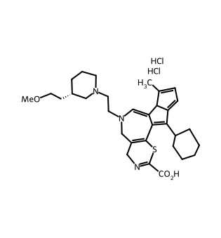 COCC[C@@H]1CCCN(CCN2C=C3C(=C(C4CCCCC4)C4=CC=C(C)C34)C3=C(CN=C(C(=O)O)S3)C2)C1.Cl.Cl